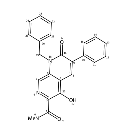 CNC(=O)c1ncc2c(cc(-c3ccccc3)c(=O)n2Cc2ccccc2)c1O